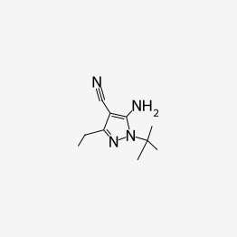 CCc1nn(C(C)(C)C)c(N)c1C#N